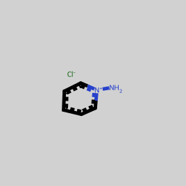 N[n+]1ccccc1.[Cl-]